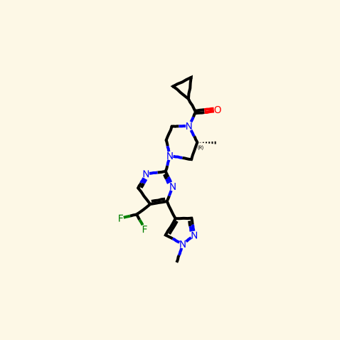 C[C@@H]1CN(c2ncc(C(F)F)c(-c3cnn(C)c3)n2)CCN1C(=O)C1CC1